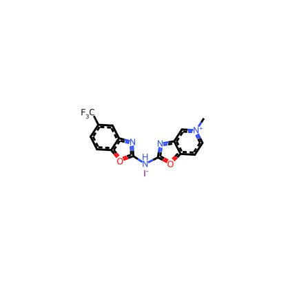 C[n+]1ccc2oc(Nc3nc4cc(C(F)(F)F)ccc4o3)nc2c1.[I-]